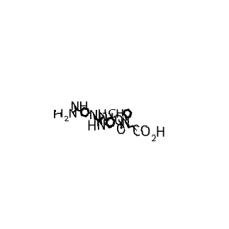 Cc1c(OC(=O)N(CCC(=O)O)c2ccccc2)ccc2[nH]c(CNc3ccc(C(=N)N)cc3)nc12